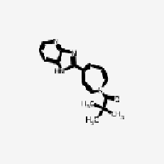 CC(C)(C)C(=O)N1C=CC=C(c2nc3ncccc3[nH]2)C=C1